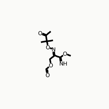 COC(=N)/C(COC=O)=N/OC(C)(C)C(C)=O